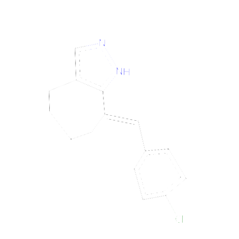 Clc1ccc(/C=C2\CCCCc3[c]n[nH]c32)cc1